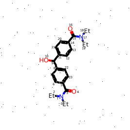 CCN(CC)C(=O)c1ccc(C(O)c2ccc(C(=O)N(CC)CC)cc2)cc1